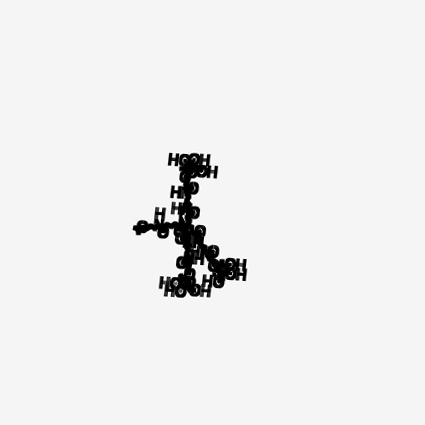 CC(C)OCCCNC(=O)CCCC(=O)NC(CCC(=O)NCCCNC(=O)CCO[C@@H]1OC(CO)[C@H](O)[C@H](O)C1C)(CCC(=O)NCCCNC(=O)CCO[C@@H]1OC(CO)[C@H](O)[C@H](O)C1C)CCC(=O)NCCCNC(=O)CCO[C@@H]1OC(CO)[C@H](O)[C@H](O)C1C